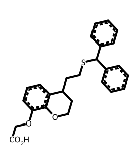 O=C(O)COc1cccc2c1OCCC2CCSC(c1ccccc1)c1ccccc1